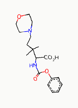 CC(C)(CCN1CCOCC1)C(NC(=O)Oc1ccccc1)C(=O)O